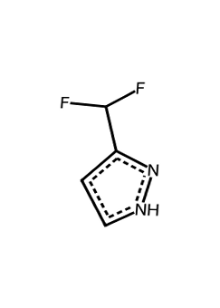 FC(F)c1cc[nH]n1